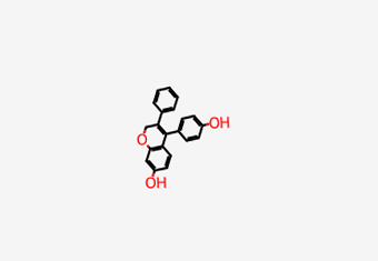 Oc1ccc(C2=C(c3ccccc3)COc3cc(O)ccc32)cc1